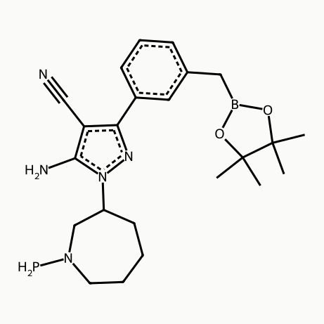 CC1(C)OB(Cc2cccc(-c3nn(C4CCCCN(P)C4)c(N)c3C#N)c2)OC1(C)C